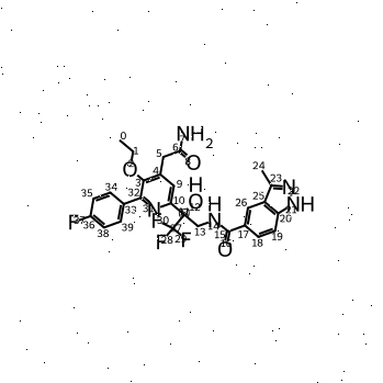 CCOc1c(CC(N)=O)cc([C@@](O)(CNC(=O)c2ccc3[nH]nc(C)c3c2)C(F)(F)F)nc1-c1ccc(F)cc1